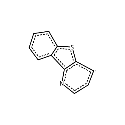 [c]1ccnc2c1sc1ccccc12